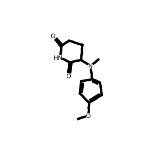 COc1ccc(N(C)C2CCC(=O)NC2=O)cc1